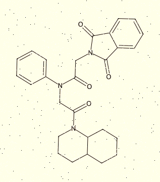 O=C1c2ccccc2C(=O)N1CC(=O)N(CC(=O)N1CCCC2CCCCC21)c1ccccc1